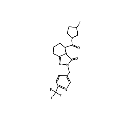 O=C(C1CCCc2nn(Cc3ccc(C(F)(F)F)nc3)c(=O)n21)N1CCC(F)C1